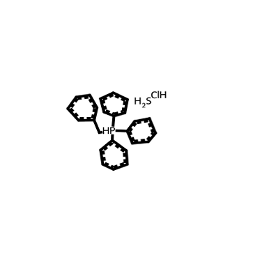 Cl.S.c1ccc(C[PH](c2ccccc2)(c2ccccc2)c2ccccc2)cc1